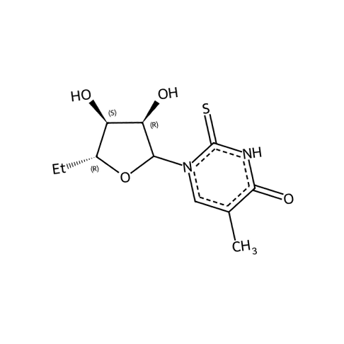 CC[C@H]1OC(n2cc(C)c(=O)[nH]c2=S)[C@H](O)[C@@H]1O